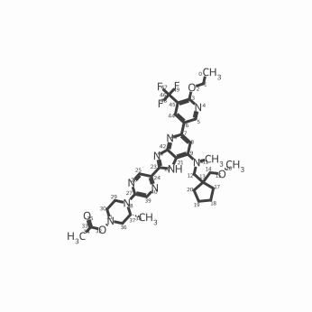 CCOc1ncc(-c2cc(N(C)CC3(COC)CCCC3)c3[nH]c(-c4cnc(N5CCN(OC(C)=O)C[C@H]5C)cn4)nc3n2)cc1C(F)(F)F